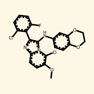 COc1ccc2nc(-c3c(F)cccc3Cl)c(Nc3ccc4c(c3)OCCO4)n2c1Cl